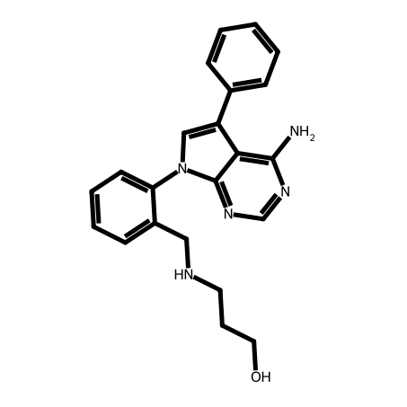 Nc1ncnc2c1c(-c1ccccc1)cn2-c1ccccc1CNCCCO